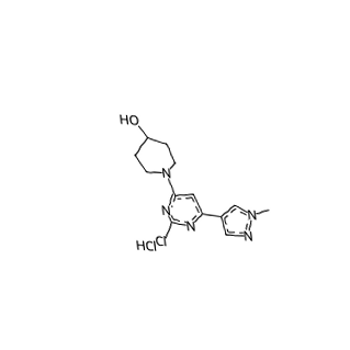 Cl.Cn1cc(-c2cc(N3CCC(O)CC3)nc(Cl)n2)cn1